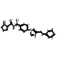 CC[C@H](NC(=O)C1CCCN1)c1ccc(-n2cc(CCc3ccccc3)nn2)cc1